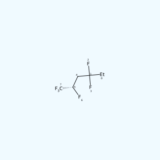 [CH2]CC(F)(F)C[C@H](F)C(F)(F)F